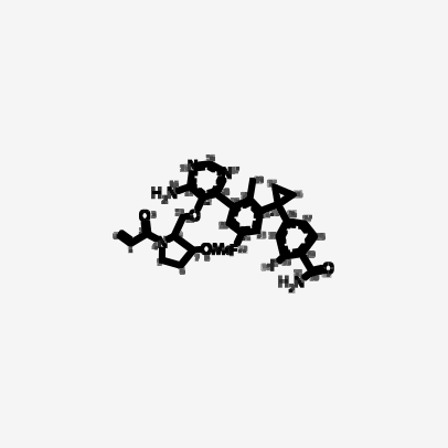 C=CC(=O)N1CCC(OC)C1COc1c(N)ncnc1-c1cc(F)cc(C2(c3ccc(C(N)=O)c(F)c3)CC2)c1C